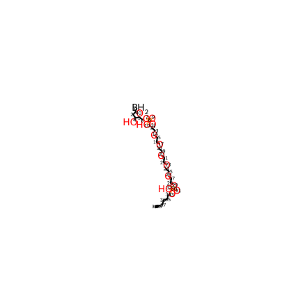 BC1CC(O)C(COP(=O)(O)OCCOCCOCCOCCOCCOCCOP(=O)(O)OCCCCC#C)O1